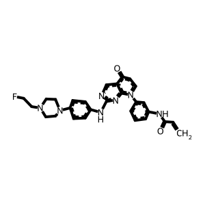 C=CC(=O)Nc1cccc(-n2ccc(=O)c3cnc(Nc4ccc(N5CCN(CCF)CC5)cc4)nc32)c1